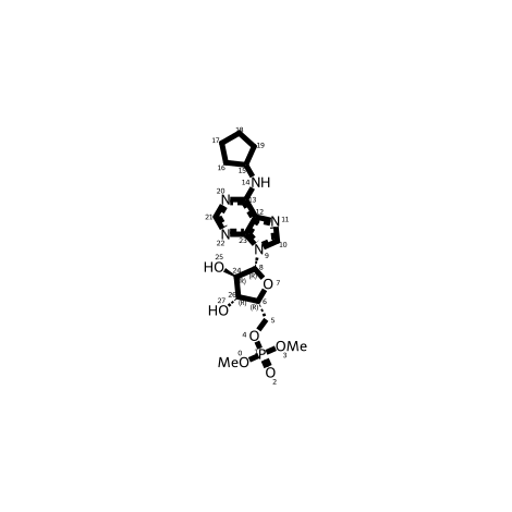 COP(=O)(OC)OC[C@H]1O[C@@H](n2cnc3c(NC4CCCC4)ncnc32)[C@H](O)[C@H]1O